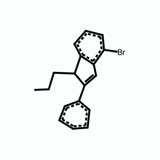 CCCC1C(c2ccccc2)=Cc2c(Br)cccc21